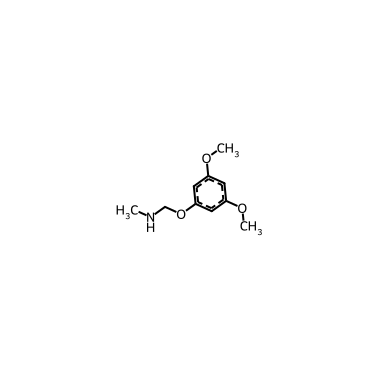 CNCOc1cc(OC)cc(OC)c1